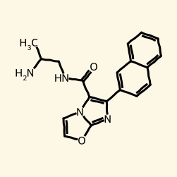 CC(N)CNC(=O)c1c(-c2ccc3ccccc3c2)nc2occn12